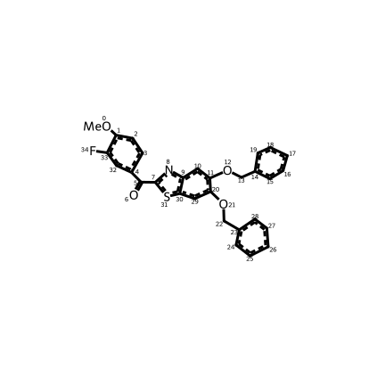 COc1ccc(C(=O)c2nc3cc(OCc4ccccc4)c(OCc4ccccc4)cc3s2)cc1F